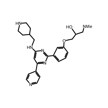 CNCC(O)COc1cccc(-c2nc(NCC3CCNCC3)cc(-c3ccncc3)n2)c1